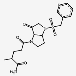 CC(C[CH]C(=O)N1CCC2C1C(=O)CN2S(=O)(=O)Cc1cccnc1)C(N)=O